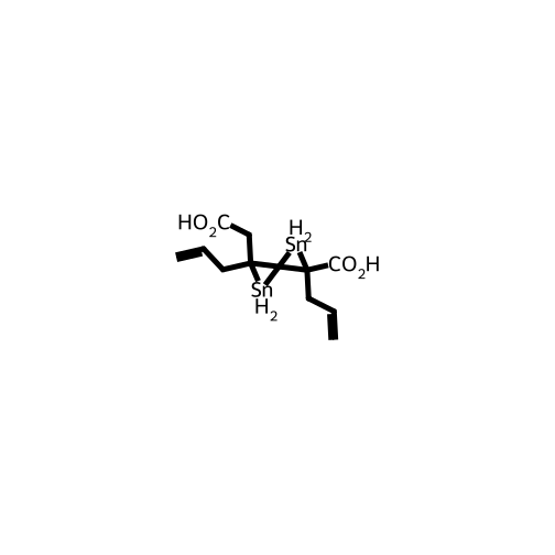 C=CC[C]1(CC(=O)O)[SnH2][C]12[SnH2][C]2(CC=C)C(=O)O